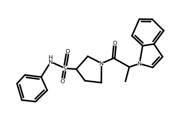 CC(C(=O)N1CCC(S(=O)(=O)Nc2ccccc2)C1)n1ccc2ccccc21